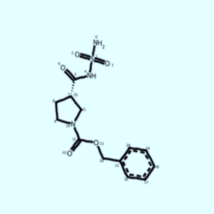 NS(=O)(=O)NC(=O)[C@H]1CCN(C(=O)OCc2ccccc2)C1